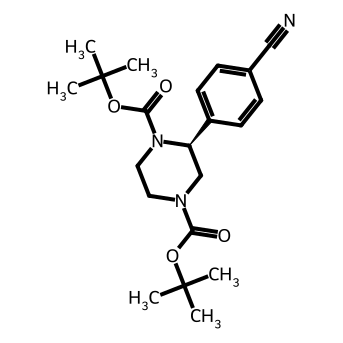 CC(C)(C)OC(=O)N1CCN(C(=O)OC(C)(C)C)[C@@H](c2ccc(C#N)cc2)C1